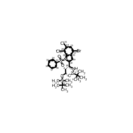 CC(C)(C)[S+]([O-])N[C@H](CCO[Si](C)(C)C(C)(C)C)c1cc2c(Br)cc(Cl)c(Cl)c2n1S(=O)(=O)c1ccccc1